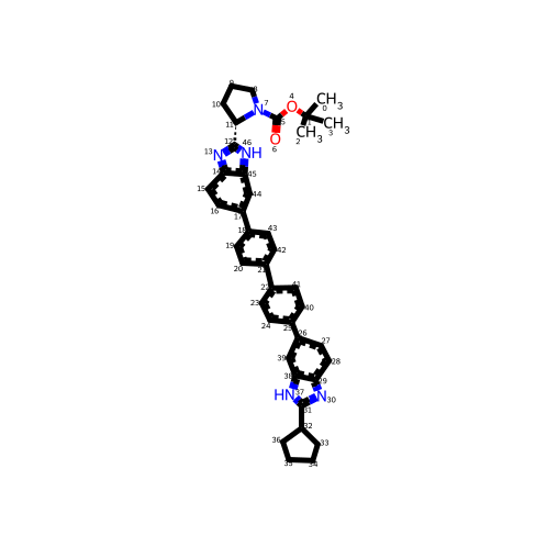 CC(C)(C)OC(=O)N1CCC[C@H]1c1nc2ccc(-c3ccc(-c4ccc(-c5ccc6nc(C7CCCC7)[nH]c6c5)cc4)cc3)cc2[nH]1